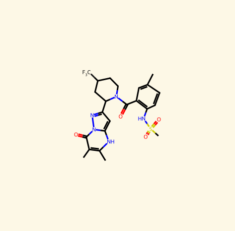 Cc1ccc(NS(C)(=O)=O)c(C(=O)N2CCC(C(F)(F)F)CC2c2cc3[nH]c(C)c(C)c(=O)n3n2)c1